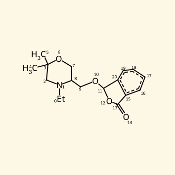 CCN1CC(C)(C)OCC1COC1OC(=O)c2ccccc21